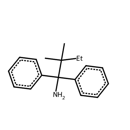 CCC(C)(C)C(N)(c1ccccc1)c1ccccc1